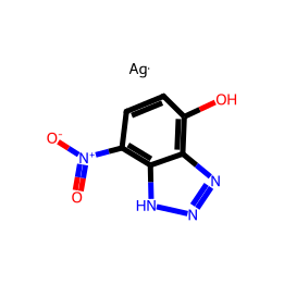 O=[N+]([O-])c1ccc(O)c2nn[nH]c12.[Ag]